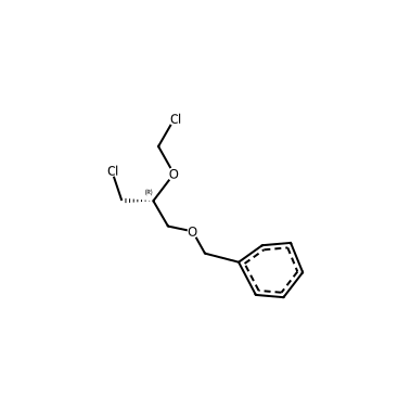 ClCO[C@@H](CCl)COCc1ccccc1